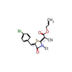 C=CCOC(=O)/C(C#N)=c1\s/c(=C\c2ccc(Br)cc2)c(=O)n1CC